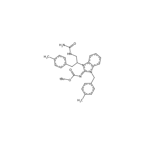 Cc1ccc(CC(CNC(N)=O)n2c(=NC(=O)OC(C)(C)C)n(Cc3ccc(C)cc3)c3ccccc32)cc1